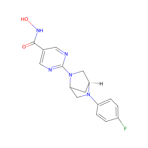 O=C(NO)c1cnc(N2C[C@@H]3CC2CN3c2ccc(F)cc2)nc1